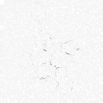 c1ccc(C2=NC(c3cccc4sc5cccc(-c6cccc7oc8cccc(-n9c%10ccccc%10c%10ccccc%109)c8c67)c5c34)NC(c3ccccc3)N2)cc1